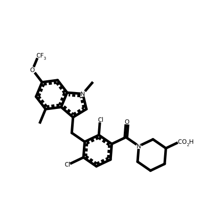 Cc1cc(OC(F)(F)F)cc2c1c(Cc1c(Cl)ccc(C(=O)N3CCCC(C(=O)O)C3)c1Cl)cn2C